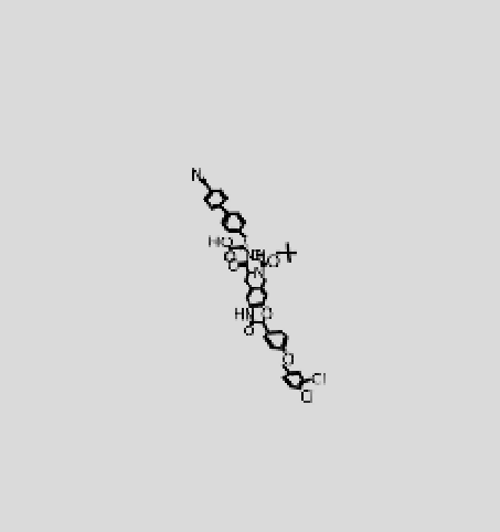 CC(C)(C)COC(=O)N1Cc2cc3c(cc2CC1C(=O)N[C@@H](Cc1ccc(-c2ccc(C#N)cc2)cc1)C(=O)O)NC(=O)C(c1ccc(OCc2ccc(Cl)c(Cl)c2)cc1)O3